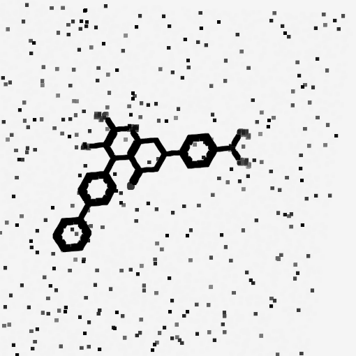 CC(=O)C1=C(C)NC2=C(C(=O)CC(c3ccc(N(C)C)cc3)C2)C1c1ccc(-c2ccccc2)cc1